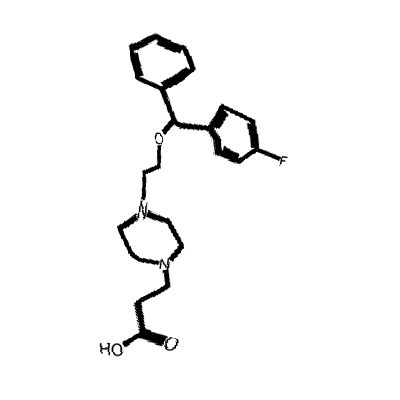 O=C(O)CCN1CCN(CCOC(c2ccccc2)c2ccc(F)cc2)CC1